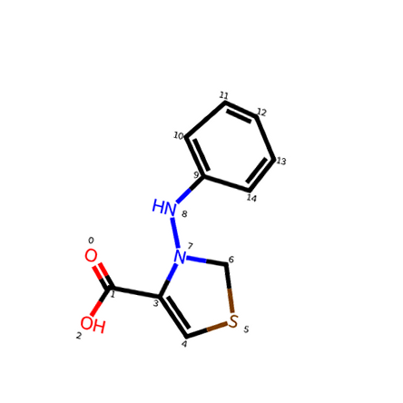 O=C(O)C1=CSCN1Nc1ccccc1